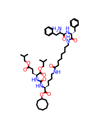 CC(C)COC(=O)CC[C@H](NC(=O)N[C@@H](CCCCNC(=O)CCCCCCCNC(=O)[C@@H](Cc1ccccc1)NC(=O)[C@H](N)Cc1ccccc1)C(=O)OC1CCCCCCC1)C(=O)OCC(C)C